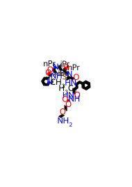 CCCO[C@H](C[C@H](C(C)C)N(CCC)C(=O)[C@@H](NC(=O)[C@H]1CCCCN1C)[C@@H](C)CC)c1nc(C(=O)NC(Cc2ccccc2)C[C@H](C)C(=O)NNC(=O)OCCOCCN)cs1